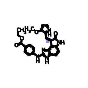 CCOC(=O)c1ccc(Nc2nc3c4c(ccc3[nH]2)NC(=O)/C4=C\c2[nH]ccc2OC)cc1